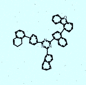 C1=Cc2cccc(-c3ccc(-c4nc(-c5ccc6ccccc6c5)nc(-c5ccc(-c6cccc7oc8ccccc8c67)c6ccccc56)n4)cc3)c2CC1